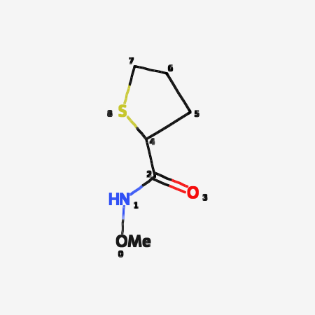 CONC(=O)C1CCCS1